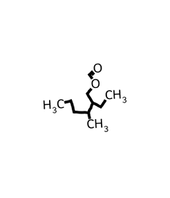 CCCC(C)C(CC)COC=O